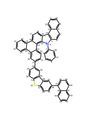 c1ccc(-n2c3ccc4ccccc4c3c3ccc4c5ccccc5c5cc(-c6ccc7sc8ccc(-c9cccc%10ccccc9%10)cc8c7c6)ccc5c4c32)cc1